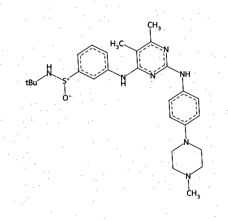 Cc1nc(Nc2ccc(N3CCN(C)CC3)cc2)nc(Nc2cccc([S+]([O-])NC(C)(C)C)c2)c1C